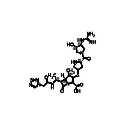 C[C@@H](NC(=O)Cn1cnnn1)C1C(=O)N2C(C(=O)O)=C(SC3CN[C@H](C(=O)N4C[C@@H](O)[C@@H](NC(=N)N)C4)C3)[C@H](C)[C@H]12